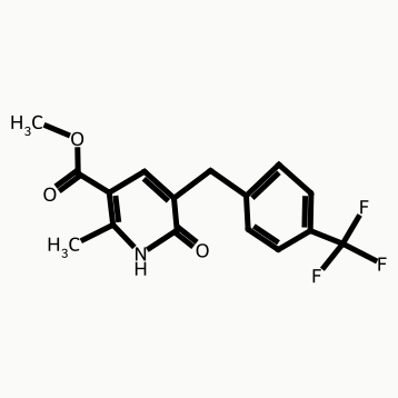 COC(=O)c1cc(Cc2ccc(C(F)(F)F)cc2)c(=O)[nH]c1C